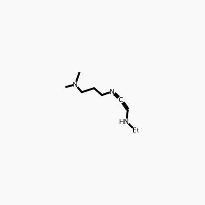 CCNC=C=NCCCN(C)C